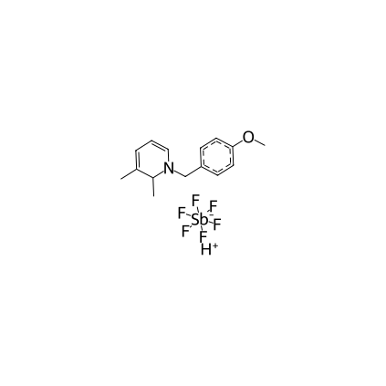 COc1ccc(CN2C=CC=C(C)C2C)cc1.[F][Sb-]([F])([F])([F])([F])[F].[H+]